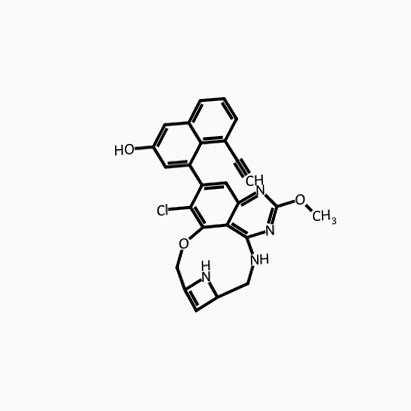 C#Cc1cccc2cc(O)cc(-c3cc4nc(OC)nc5c4c(c3Cl)OCC3=CC(CN5)N3)c12